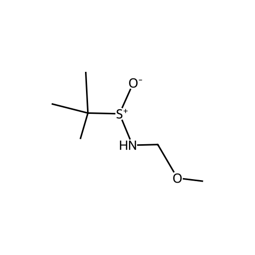 COCN[S+]([O-])C(C)(C)C